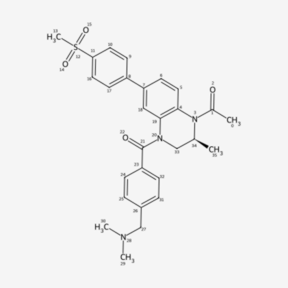 CC(=O)N1c2ccc(-c3ccc(S(C)(=O)=O)cc3)cc2N(C(=O)c2ccc(CN(C)C)cc2)C[C@@H]1C